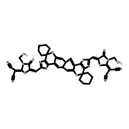 CCn1c(=C(C#N)C#N)s/c(=C\c2nc3c(s2)C2=CC4C=C5OC6(CCCCC6)c6nc(/C=c7/sc(=C(C#N)C#N)n(CC)c7=O)sc6C5=CC4C=C2OC32CCCCC2)c1=O